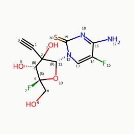 C#CC1(O)[C@@H](O)[C@@](F)(CO)O[C@H]1n1cc(F)c(N)nc1=S